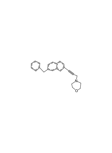 C(#Cc1ccc2ccc(Cc3ccccc3)cc2c1)CN1CCOCC1